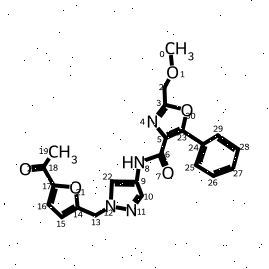 COCc1nc(C(=O)Nc2cnn(Cc3ccc(C(C)=O)o3)c2)c(-c2ccccc2)o1